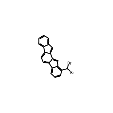 BrC(Br)c1cccc2c1C=c1c-2ccc2c1=Cc1ccccc1-2